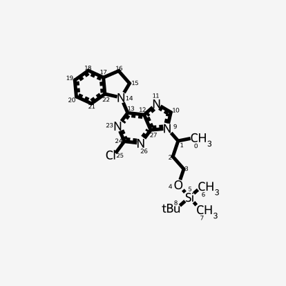 CC(CCO[Si](C)(C)C(C)(C)C)n1cnc2c(N3CCc4ccccc43)nc(Cl)nc21